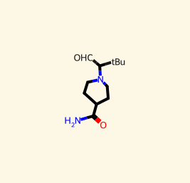 CC(C)(C)C(C=O)N1CCC(C(N)=O)CC1